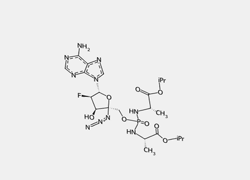 CC(C)OC(=O)[C@H](C)NP(=O)(N[C@@H](C)C(=O)OC(C)C)OC[C@@]1(N=[N+]=[N-])O[C@@H](n2cnc3c(N)ncnc32)[C@H](F)[C@@H]1O